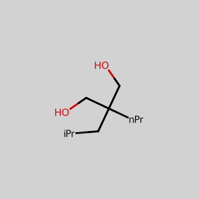 CCCC(CO)(CO)CC(C)C